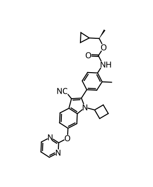 Cc1cc(-c2c(C#N)c3ccc(Oc4ncccn4)cc3n2C2CCC2)ccc1NC(=O)O[C@H](C)C1CC1